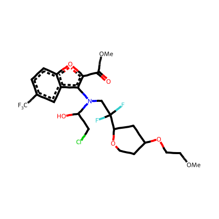 COCCOC1CCOC(C(F)(F)CN(c2c(C(=O)OC)oc3ccc(C(F)(F)F)cc23)C(O)CCl)C1